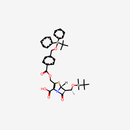 C[C@@H](O[Si](C)(C)C(C)(C)C)[C@H]1C(=O)N2C(C(=O)O)=C(COC(=O)c3ccc(CO[Si](c4ccccc4)(c4ccccc4)C(C)(C)C)cc3)S[C@H]12